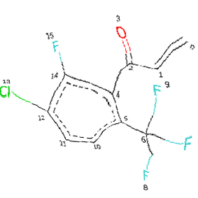 C=CC(=O)c1c(C(F)(F)F)ccc(Cl)c1F